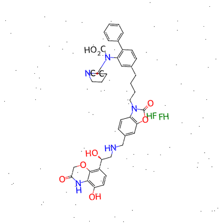 F.F.O=C1COc2c([C@@H](O)CNCc3ccc4c(c3)oc(=O)n4CCCCc3ccc(-c4ccccc4)c(N(C(=O)O)C4CN5CCC4CC5)c3)ccc(O)c2N1